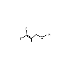 CCCOCC(F)=C(F)F